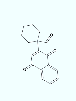 O=CC1(C2=CC(=O)c3ccccc3C2=O)CCCCC1